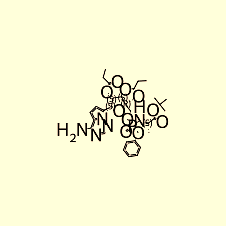 CCC(=O)O[C@H]1[C@H](c2ccc3c(N)ncnn23)O[C@](C)(COP(=O)(N[C@@H](C)C(=O)OC(C)(C)C)Oc2ccccc2)[C@H]1OC(=O)CC